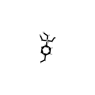 CCc1ccc([N+](CC)(CC)CC)cc1